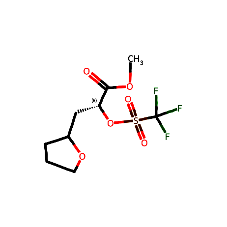 COC(=O)[C@@H](CC1CCCO1)OS(=O)(=O)C(F)(F)F